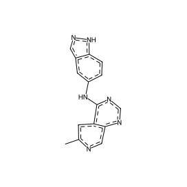 Cc1cc2c(Nc3ccc4[nH]ncc4c3)ncnc2cn1